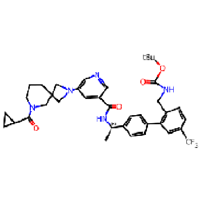 C[C@@H](NC(=O)c1cncc(N2CC3(CCCN(C(=O)C4CC4)C3)C2)c1)c1ccc(-c2cc(C(F)(F)F)ccc2CNC(=O)OC(C)(C)C)cc1